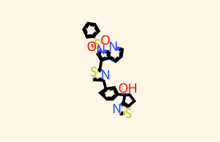 O=S(=O)(c1ccccc1)n1cc(-c2nc(-c3cccc(C4(O)CCc5scnc54)c3)cs2)c2cccnc21